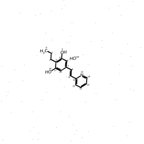 CCCc1c(O)cc(C=Cc2ccccn2)cc1O.Cl